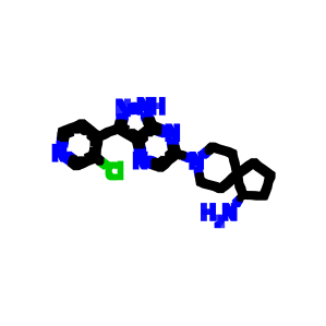 N[C@@H]1CCCC12CCN(c1cnc3c(-c4ccncc4Cl)n[nH]c3n1)CC2